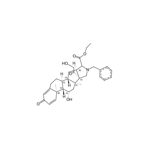 CCOC(=O)C1[C@@H]2C[C@H]3[C@@H]4CCC5=CC(=O)C=C[C@]5(C)[C@H]4[C@@H](O)C[C@]3(C)[C@]2(C(=O)CO)CN1Cc1ccccc1